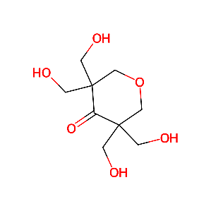 O=C1C(CO)(CO)COCC1(CO)CO